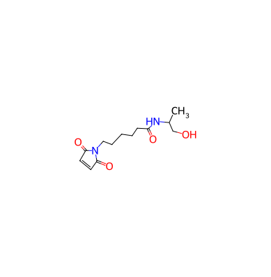 CC(CO)NC(=O)CCCCCN1C(=O)C=CC1=O